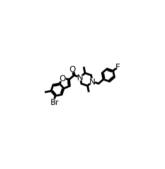 Cc1cc2oc(C(=O)N3CC(C)N(Cc4ccc(F)cc4)CC3C)cc2cc1Br